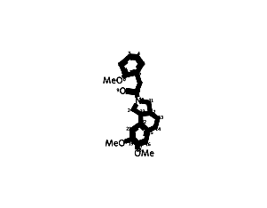 COc1ccccc1CC(=O)N1CC2CCc3cc(OC)c(OC)cc3C2C1